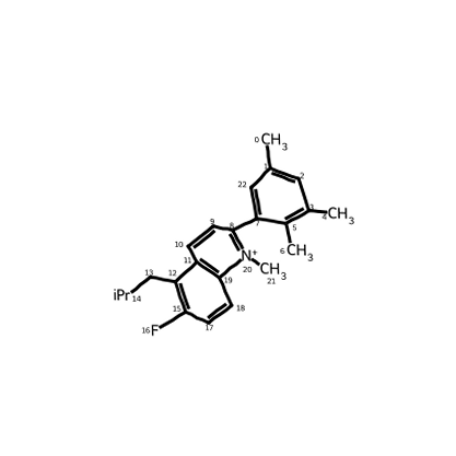 Cc1cc(C)c(C)c(-c2ccc3c(CC(C)C)c(F)ccc3[n+]2C)c1